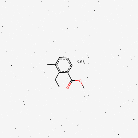 CCc1c(C)cccc1C(=O)OC.[CaH2]